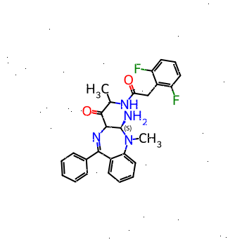 CC(NC(=O)Cc1c(F)cccc1F)C(=O)C1N=C(c2ccccc2)c2ccccc2N(C)[C@@H]1N